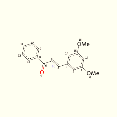 COc1cc(/C=C/C(=O)c2ccccc2)cc(OC)c1